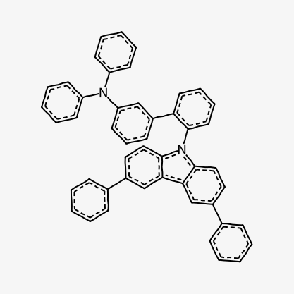 c1ccc(-c2ccc3c(c2)c2cc(-c4ccccc4)ccc2n3-c2ccccc2-c2cccc(N(c3ccccc3)c3ccccc3)c2)cc1